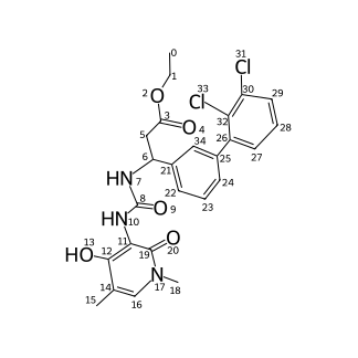 CCOC(=O)CC(NC(=O)Nc1c(O)c(C)cn(C)c1=O)c1cccc(-c2cccc(Cl)c2Cl)c1